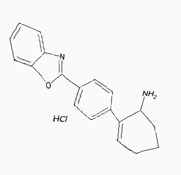 Cl.NC1CCCC=C1c1ccc(-c2nc3ccccc3o2)cc1